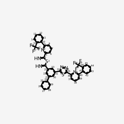 N=C(SC(=N)c1cccc(-c2ccccc2C(F)(F)F)n1)c1cc(-c2ccccc2)cc(-c2nnc(-c3cccc(-c4ccccc4C(F)(F)F)n3)s2)c1